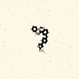 Cn1cc(-c2ccc(Cc3ccc4c(c3)C(=O)N([C@H]3CCCC[C@@H]3O)CO4)cc2)cn1